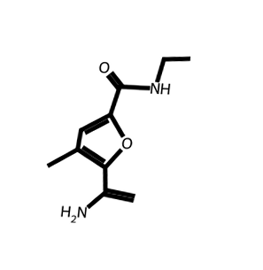 C=C(N)c1oc(C(=O)NCC)cc1C